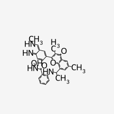 CN/C=C1/C=C(c2oc3c([C@@H](C)Nc4ccccc4C(=O)NO)cc(C)cc3c(=O)c2C)C=CC1=N